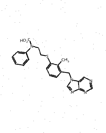 Cc1c(Cn2cnc3ncncc32)cccc1SCCN(C(=O)O)c1ccccc1